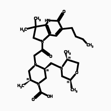 CCCCc1cc2c([nH]c1=O)C(C)(C)CN2C(=O)CN1C[C@@H](C)N(C(=O)O)C[C@@H]1CN1C[C@H](C)OC[C@H]1C